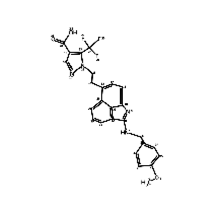 COc1ccc(CNC2=Nc3ccc(CCn4ncc(C(=O)O)c4C(F)(F)F)c4cccc2c34)cc1